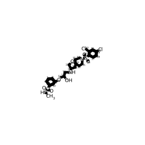 CNS(=O)(=O)c1cccc(OCC(O)CNC2COC3(CCN(S(=O)(=O)c4ccc(Cl)cc4Cl)CC3)C2)c1